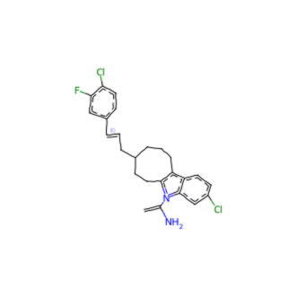 C=C(N)n1c2c(c3ccc(Cl)cc31)CCCC(C/C=C/c1ccc(Cl)c(F)c1)CC2